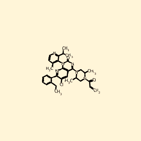 C=CC(=O)N1CC(C)N(c2nc(=O)n(-c3c(C)ccnc3C(C)C)c3nc(-c4ccccc4CC)c(Cl)cc23)CC1C